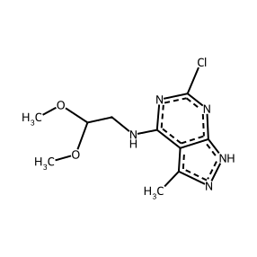 COC(CNc1nc(Cl)nc2[nH]nc(C)c12)OC